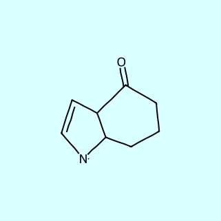 O=C1CCCC2[N]C=CC12